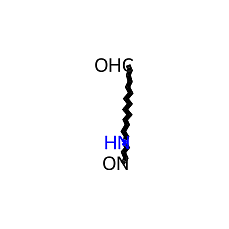 O=CCCCCCCCCCCCCCNCCCN=O